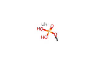 O=P(O)(O)[O][Ti].[LiH]